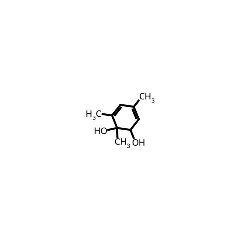 CC1=CC(O)C(C)(O)C(C)=C1